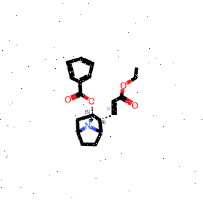 CCOC(=O)/C=C/[C@@H]1C2CCC(C[C@@H]1OC(=O)c1ccccc1)N2C